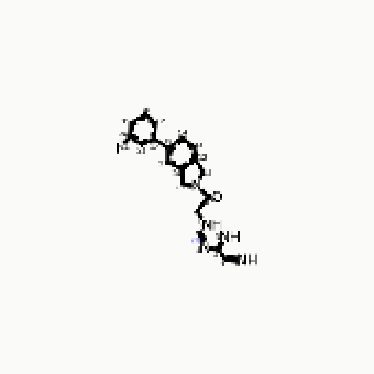 N=CC(=N)/N=C\NCC(=O)N1Cc2ccc(-c3cccc(F)c3)cc2C1